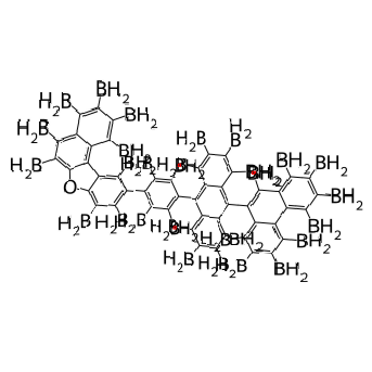 Bc1c(B)c(-c2c3c(B)c(B)c(B)c(B)c3c(-c3c(B)c4c(B)c(B)c(B)c(B)c4c4c(B)c(B)c(B)c(B)c34)c3c(B)c(B)c(B)c(B)c23)c(B)c(B)c1-c1c(B)c(B)c2oc3c(B)c(B)c4c(B)c(B)c(B)c(B)c4c3c2c1B